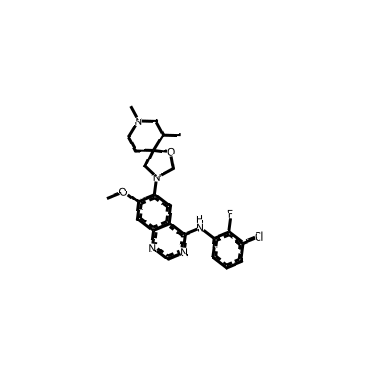 COc1cc2ncnc(Nc3cccc(Cl)c3F)c2cc1N1COC2(CCN(C)CC2C)C1